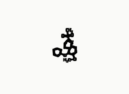 COc1ccc2nc(S(C)(=O)=O)ccc2c1Oc1ccccc1